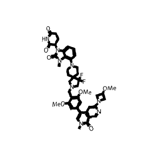 COc1cc(-c2cn(C)c(=O)c3cnc(N4CC(OC)C4)cc23)cc(OC)c1CN1CC(F)(F)C2(CCN(c3cccc4c3n(C)c(=O)n4C3CCC(=O)NC3=O)CC2)C1